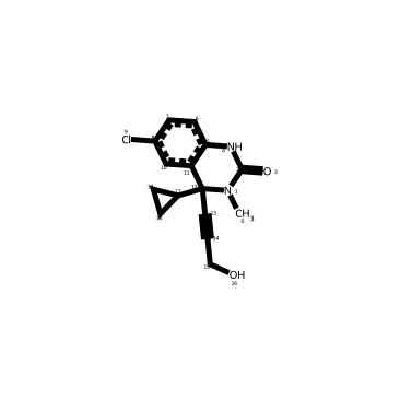 CN1C(=O)Nc2ccc(Cl)cc2C1(C#CCO)C1CC1